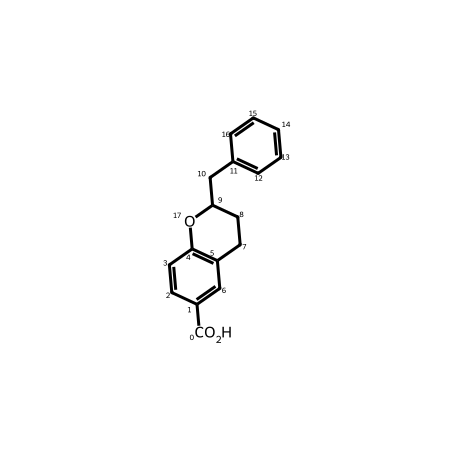 O=C(O)c1ccc2c(c1)CCC(Cc1ccccc1)O2